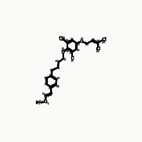 CC(C)ON=Cc1ccc(CCCCOc2c(Cl)cc(OCC=C(Cl)Cl)cc2Cl)cc1